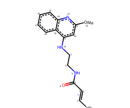 CCC/C=C/C(=O)NCCNc1cc(OC)nc2ccccc12